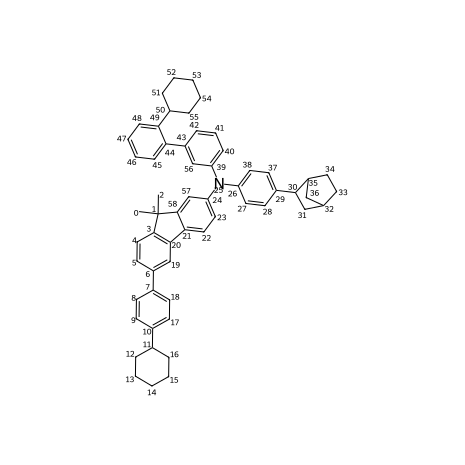 CC1(C)c2ccc(-c3ccc(C4CCCCC4)cc3)cc2-c2ccc(N(c3ccc(C4CC5CCC4C5)cc3)c3cccc(-c4ccccc4C4CCCCC4)c3)cc21